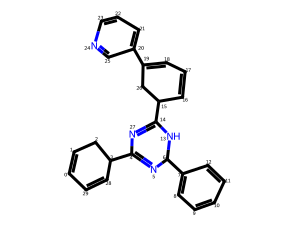 C1=CCC(C2=NC(c3ccccc3)NC(C3C=CC=C(c4cccnc4)C3)=N2)C=C1